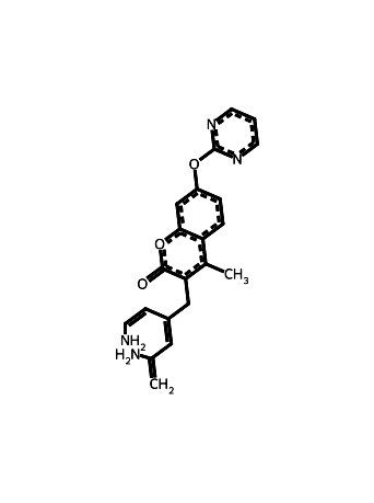 C=C(N)/C=C(\C=C/N)Cc1c(C)c2ccc(Oc3ncccn3)cc2oc1=O